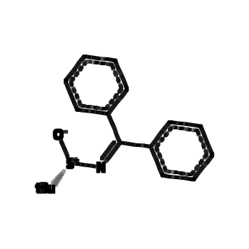 CC(C)(C)[S@+]([O-])N=C(c1ccccc1)c1ccccc1